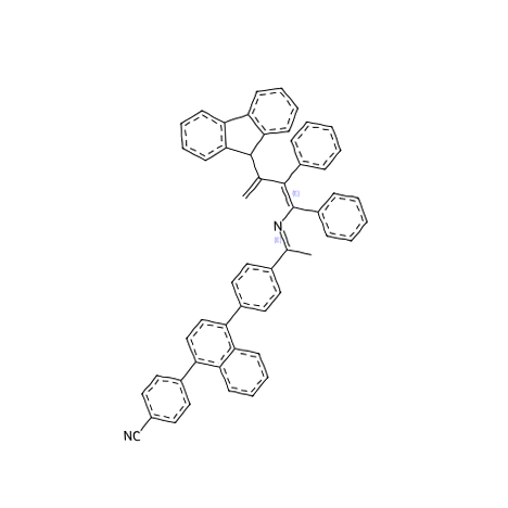 C=C(/C(=C(\N=C(/C)c1ccc(-c2ccc(-c3ccc(C#N)cc3)c3ccccc23)cc1)c1ccccc1)c1ccccc1)C1c2ccccc2-c2ccccc21